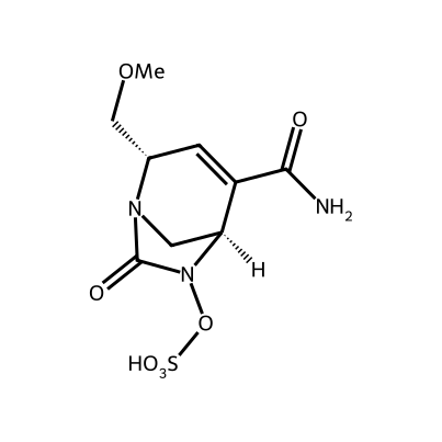 COC[C@@H]1C=C(C(N)=O)[C@@H]2CN1C(=O)N2OS(=O)(=O)O